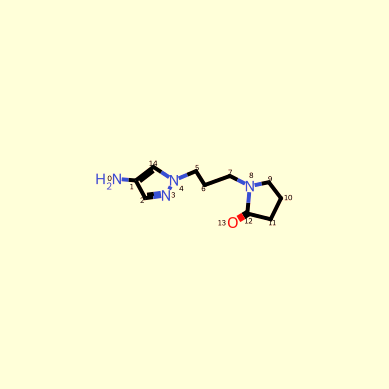 Nc1cnn(CCCN2CCCC2=O)c1